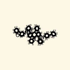 CC1(c2ccccc2)c2ccc3c(c2C(C)(c2ccccc2)c2ccc4c(c21)c1ccccc1n4-c1ccc(-c2ccccc2)cc1)c1ccccc1n3-c1ccc2oc3ccccc3c2c1